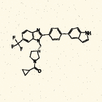 O=C(C1CC1)N1CC[C@H](Cn2c(-c3ccc(-c4ccc5[nH]ccc5c4)cc3)nc3ccc(C(F)(F)F)cc32)C1